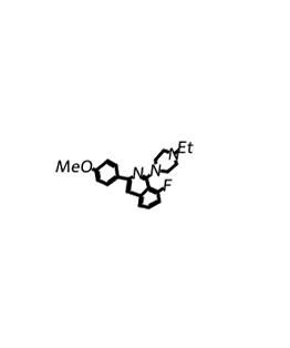 CCN1CCN(c2nc(-c3ccc(OC)cc3)cc3cccc(F)c23)CC1